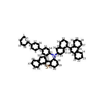 c1ccc(-c2ccc(-c3ccc(N(c4ccc5c(-c6cc7ccccc7c7ccccc67)cccc5c4)c4cccc5sc6c7ccccc7ccc6c45)cc3)cc2)cc1